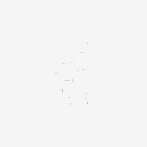 C=CCC(Nc1nc2c(C)c(F)ccc2[nH]1)c1cccc(C(F)(F)F)c1